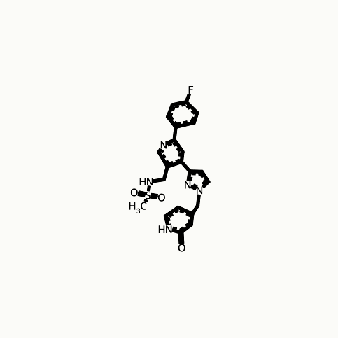 CS(=O)(=O)NCc1cnc(-c2ccc(F)cc2)cc1-c1ccn(Cc2cc[nH]c(=O)c2)n1